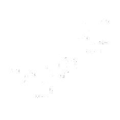 CON=C(C(=O)N[C@@H]1C(=O)N2C(C(=O)O)=C(CN3SNC=C(C#N)C3=O)CS[C@H]12)c1csc(N)n1